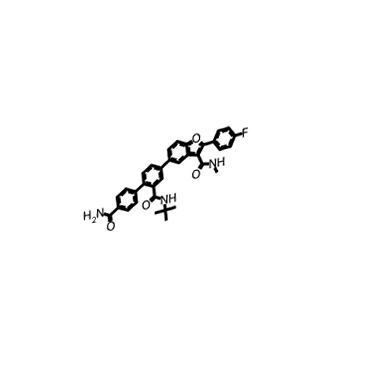 CNC(=O)c1c(-c2ccc(F)cc2)oc2ccc(-c3ccc(-c4ccc(C(N)=O)cc4)c(C(=O)NC(C)(C)C)c3)cc12